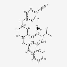 CC(C)[C@H](Nc1nc(CN2CCN(Cc3ccc(C#N)cc3)CC2)nc2ccccc12)C(N)=O